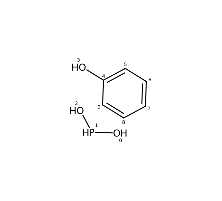 OPO.Oc1ccccc1